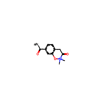 CCCC(=O)c1ccc2c(c1)O[N+](C)(C)C(=O)C2